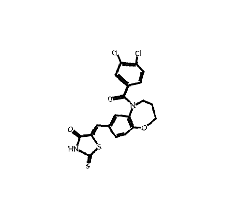 O=C1NC(=S)S/C1=C\c1ccc2c(c1)N(C(=O)c1ccc(Cl)c(Cl)c1)CCCO2